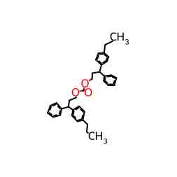 CCCc1ccc(C(CCOC(=O)OCCC(c2ccccc2)c2ccc(CCC)cc2)c2ccccc2)cc1